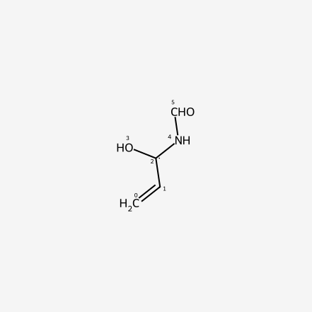 C=C[C](O)NC=O